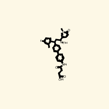 Cc1cc(F)ccc1C(CC(=NO)c1ccc(=O)n(C)c1)c1ccc(-c2ccc(NC(=O)CCC(=O)O)cc2)cc1